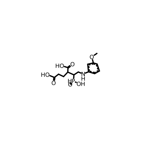 COc1cccc(NCC(C(CCC(=O)O)C(=O)O)[PH](=O)O)c1